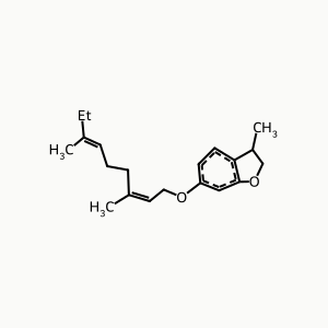 CCC(C)=CCCC(C)=CCOc1ccc2c(c1)OCC2C